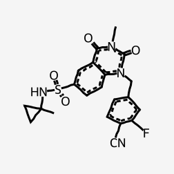 Cn1c(=O)c2cc(S(=O)(=O)NC3(C)CC3)ccc2n(Cc2ccc(C#N)c(F)c2)c1=O